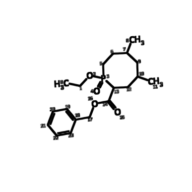 CCOP1(=O)CCC(C)CC(C)CC1C(=O)OCc1ccccc1